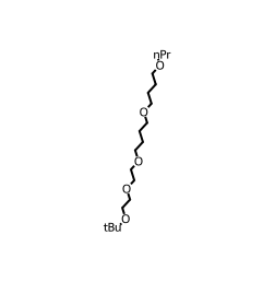 CCCOCCCCOCCCCOCCOCCOC(C)(C)C